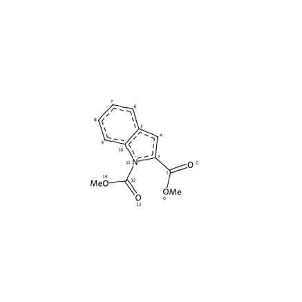 COC(=O)c1cc2ccccc2n1C(=O)OC